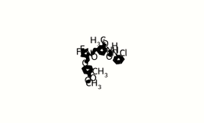 COC(=O)c1ccc(OCC2CC(F)(F)CN2C(=O)Cc2ccc(NC(=O)Nc3ccccc3Cl)c(OC)c2)cc1C